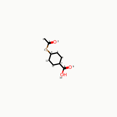 CC(=O)SC1CCC(C(=O)O)CC1